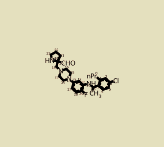 CCCc1cc(Cl)ccc1C(C)Nc1cc(N2CCN(CC3(C=O)CCCN3)CC2)ccc1F